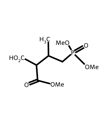 COC(=O)C(C(=O)O)C(C)CP(=O)(OC)OC